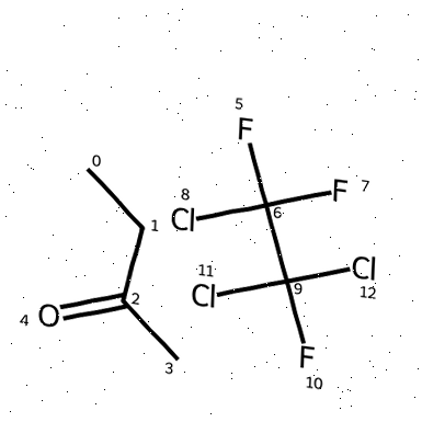 CCC(C)=O.FC(F)(Cl)C(F)(Cl)Cl